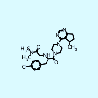 C[C@@H]1CCc2ncnc(N3CCN(C(=O)[C@@H](Cc4ccc(Cl)cc4)NCC(=O)N(C)C)CC3)c21